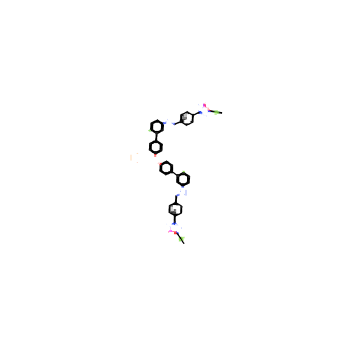 CC(F)(F)c1nc(C23CCC(CNc4ccc(F)c(-c5ccc(Oc6ccc(-c7cc(NCC89CCC(c%10noc(C(C)(F)F)n%10)(CC8)CC9)ccc7F)cc6)cc5)c4)(CC2)CC3)no1.CPC